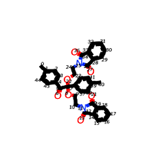 Cc1ccc(C(=O)C(OCCN2C(=O)c3ccccc3C2=O)(OCCN2C(=O)c3ccccc3C2=O)c2ccc(C)cc2)cc1